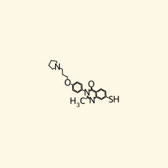 Cc1nc2cc(S)ccc2c(=O)n1-c1ccc(OCCCN2CCCC2)cc1